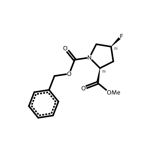 COC(=O)[C@@H]1C[C@H](F)CN1C(=O)OCc1ccccc1